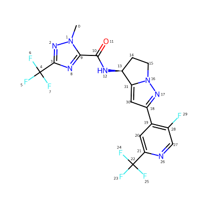 Cn1nc(C(F)(F)F)nc1C(=O)N[C@H]1CCn2nc(-c3cc(C(F)(F)F)ncc3F)cc21